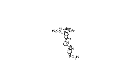 CC(C)N(C)c1cc2c(c(CN(C)C(=O)OC(C)(C)C)n1)CN(c1cccc(-c3nnc4n3CCN(C(=O)O)C4)n1)C2=O